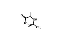 C[C@H](NC(=O)C(F)(F)F)C(=O)Br